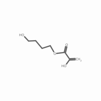 C=C(O)C(=O)OCCCCO